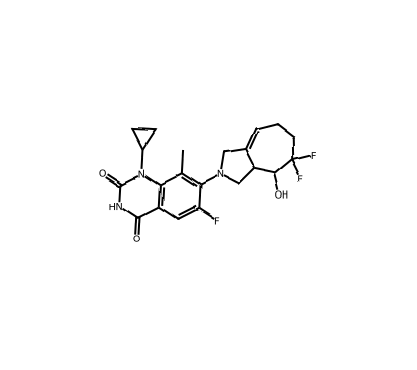 Cc1c(N2CC3=CCCC(F)(F)C(O)C3C2)c(F)cc2c(=O)[nH]c(=O)n(C3CC3)c12